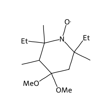 CCC1(C)CC(OC)(OC)C(C)C(C)(CC)N1[O]